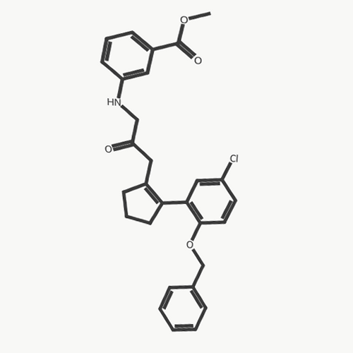 COC(=O)c1cccc(NCC(=O)CC2=C(c3cc(Cl)ccc3OCc3ccccc3)CCC2)c1